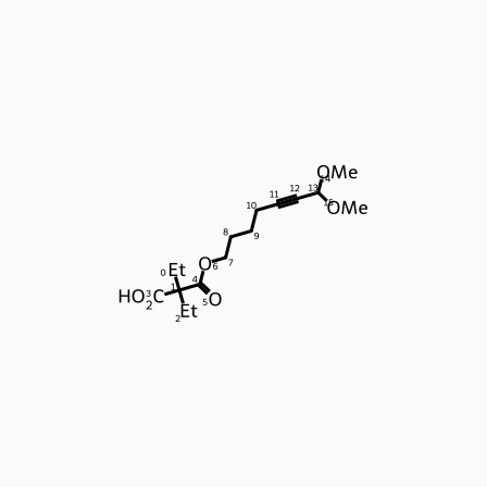 CCC(CC)(C(=O)O)C(=O)OCCCCC#CC(OC)OC